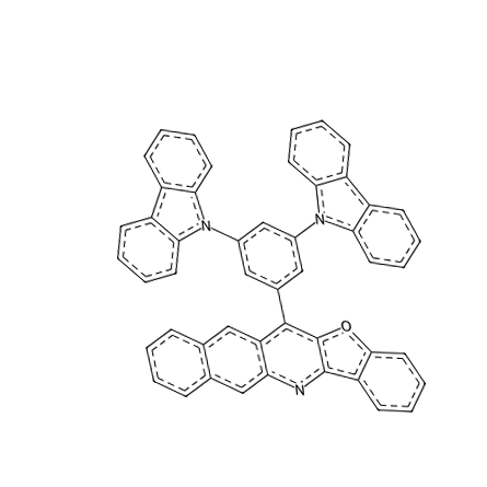 c1ccc2cc3c(-c4cc(-n5c6ccccc6c6ccccc65)cc(-n5c6ccccc6c6ccccc65)c4)c4oc5ccccc5c4nc3cc2c1